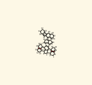 c1ccc(-c2ccc(-c3ccccc3)c3c(-c4ccccc4)c4c(c(-c5ccccc5)c23)-c2cccc3c(-c5c6ccccc6cc6c5sc5ccccc56)ccc-4c23)cc1